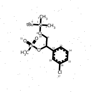 CC(C)(C)[Si](C)(C)OCC(OS(C)(=O)=O)c1cccc(Cl)c1